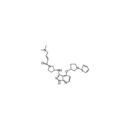 CN(C)CC=CC(=O)N1CCC(Nc2n[nH]c3nccc(OC4CCN(c5ccccc5)C4)c23)C1